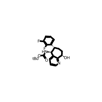 CC(C)(C)OC(=O)N[C@@H]1c2cccnc2[C@@H](O)CC[C@H]1c1cccc(F)c1F